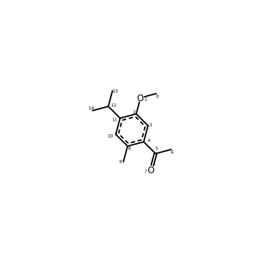 COc1cc(C(C)=O)c(C)cc1C(C)C